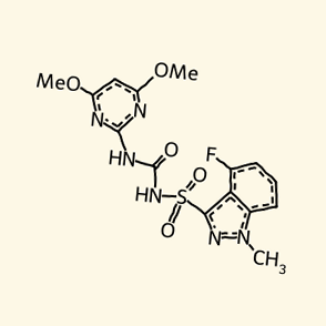 COc1cc(OC)nc(NC(=O)NS(=O)(=O)c2nn(C)c3cccc(F)c23)n1